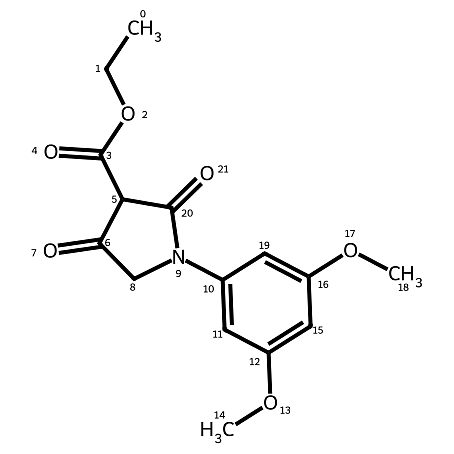 CCOC(=O)C1C(=O)CN(c2cc(OC)cc(OC)c2)C1=O